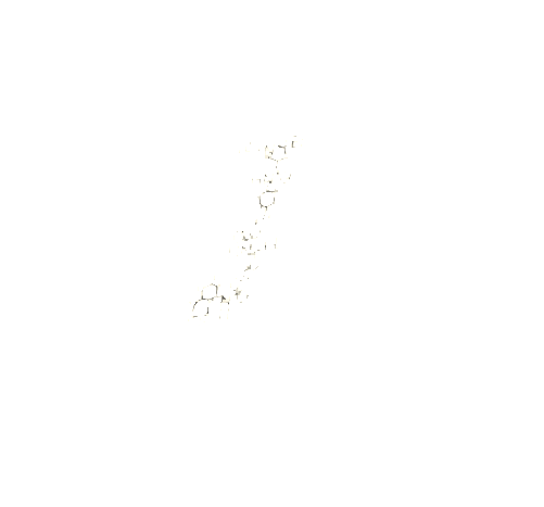 CCC[n+]1cc(Br)cc(C(=O)Nc2ccc(CCOC(=O)NC(C)OCCOC(=O)Nc3cccc4ccccc34)cc2)c1.[Cl-]